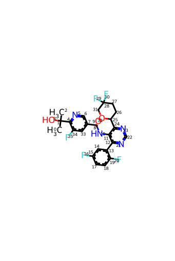 CC(C)(O)c1ncc(C(=O)Nc2c(-c3cc(F)ccc3F)ncnc2C2CCC(F)(F)CO2)cc1F